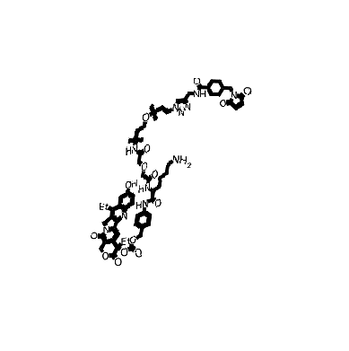 CCc1c2c(nc3ccc(O)cc13)-c1cc3c(c(=O)n1C2)COC(=O)C3(CC)OC(=O)OCc1ccc(NC(=O)C(CCCCN)NC(=O)COCC(=O)NC(C)(C)CCOC(C)(C)CCn2cc(CNC(=O)C3CCC(CN4C(=O)C=CC4=O)CC3)nn2)cc1